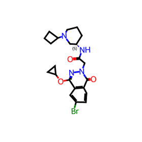 O=C(Cn1nc(OC2CC2)c2cc(Br)ccc2c1=O)N[C@H]1CCCN(C2CCC2)C1